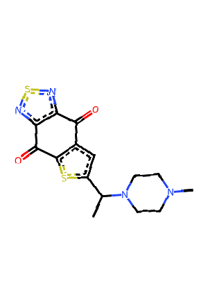 CC(c1cc2c(s1)C(=O)c1nsnc1C2=O)N1CCN(C)CC1